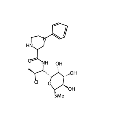 CS[C@H]1O[C@H](C(NC(=O)C2CN(c3ccccc3)CCN2)[C@H](C)Cl)[C@H](O)[C@H](O)[C@H]1O